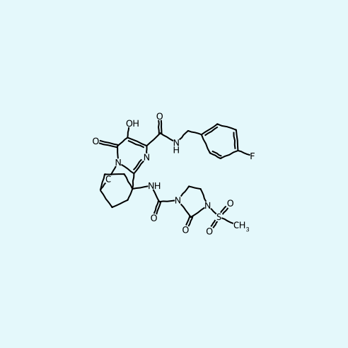 CS(=O)(=O)N1CCN(C(=O)NC23CCC(CC2)Cn2c3nc(C(=O)NCc3ccc(F)cc3)c(O)c2=O)C1=O